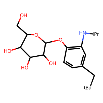 CC(C)Nc1cc(CC(C)(C)C)ccc1OC1OC(CO)C(O)C(O)C1O